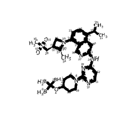 BC(B)(B)OC1CCN(c2nccc(Nc3cc4c(C(C)C)ccc(N5C[C@H](CS(C)(=O)=O)[C@H]5C)c4cn3)n2)CC1